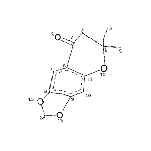 CC1(C)CC(=O)c2cc3c(cc2O1)OCO3